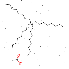 CC(=O)[O-].CCCCCCCC[As+](CCCCCCCC)(CCCCCCCC)CCCCCCCC